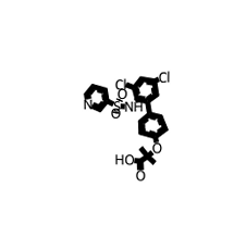 CC(C)(Oc1ccc(-c2cc(Cl)cc(Cl)c2NS(=O)(=O)c2cccnc2)cc1)C(=O)O